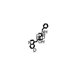 COc1ccc2nccc(CC[C@@]3(O)CO[C@@H]4[C@@H](NCc5ccccc5)CO[C@@H]43)c2c1